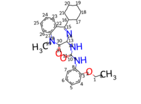 CCOc1ccccc1NC(=O)NC1N=C(C2CCCCC2)c2ccccc2N(C)C1=O